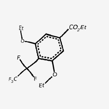 CCOC(=O)c1cc(OCC)c(C(F)(F)C(F)(F)F)c(OCC)c1